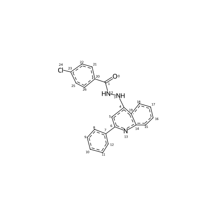 O=C(NNc1cc(-c2ccccc2)nc2ccccc12)c1ccc(Cl)cc1